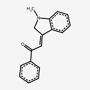 CN1CC(=CC(=O)c2ccccc2)c2ccccc21